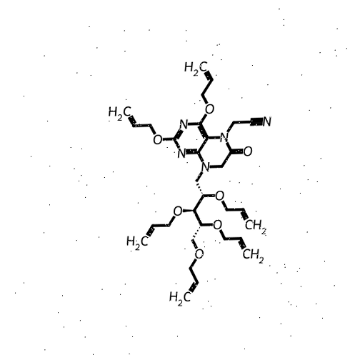 C=CCOC[C@@H](OCC=C)[C@@H](OCC=C)[C@H](CN1CC(=O)N(CC#N)c2c(OCC=C)nc(OCC=C)nc21)OCC=C